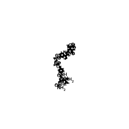 CCc1c2c(nc3ccc(OC(=O)N(C)CCN(C)C(=O)OCc4ccc(NC(=O)[C@H](CCCNC(N)=O)NC(=O)[C@@H](N)C(C)C)cc4)cc13)-c1cc3c(c(=O)n1C2)COC(=O)[C@]3(O)CC